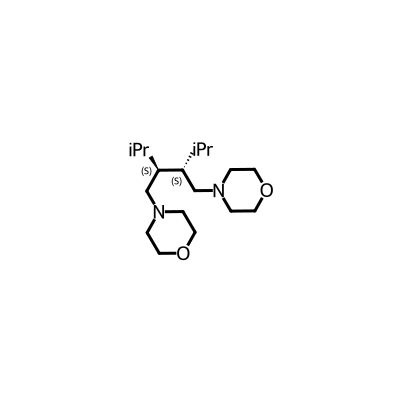 CC(C)[C@H](CN1CCOCC1)[C@@H](CN1CCOCC1)C(C)C